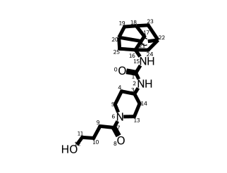 O=C(NC1CCN(C(=O)CCCO)CC1)NC12CC3CC(CC(C3)C1)C2